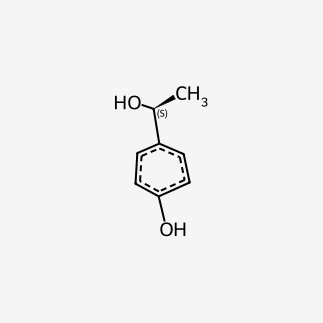 C[C@H](O)c1ccc(O)cc1